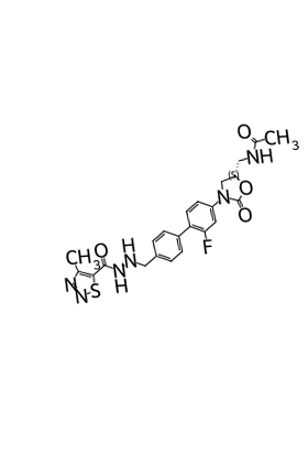 CC(=O)NC[C@H]1CN(c2ccc(-c3ccc(CNNC(=O)c4snnc4C)cc3)c(F)c2)C(=O)O1